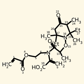 C=CC(=O)OCCN(C(=C)C(=O)O)C(=O)C(C)ON1C(C)(CC)CC(=O)C(C)C1(C)CC